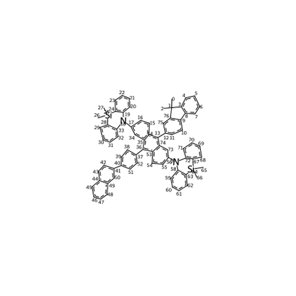 CC1(C)c2ccccc2-c2ccc(-c3c4ccc(N5c6ccccc6[Si](C)(C)c6ccccc65)cc4c(-c4ccc(-c5ccc6ccccc6c5)cc4)c4ccc(N5c6ccccc6[Si](C)(C)c6ccccc65)cc34)cc21